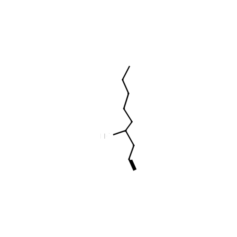 C=CCC(O)CCCCC